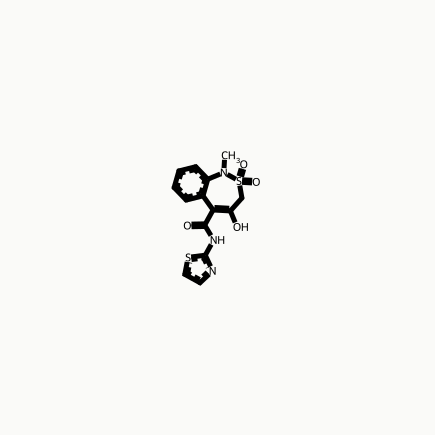 CN1c2ccccc2C(C(=O)Nc2nccs2)=C(O)CS1(=O)=O